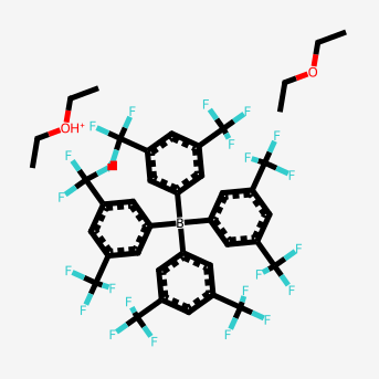 CCOCC.CC[OH+]CC.FC(F)(F)c1cc([B-](c2cc(C(F)(F)F)cc(C(F)(F)F)c2)(c2cc(C(F)(F)F)cc(C(F)(F)F)c2)c2cc(C(F)(F)F)cc(C(F)(F)F)c2)cc(C(F)(F)F)c1